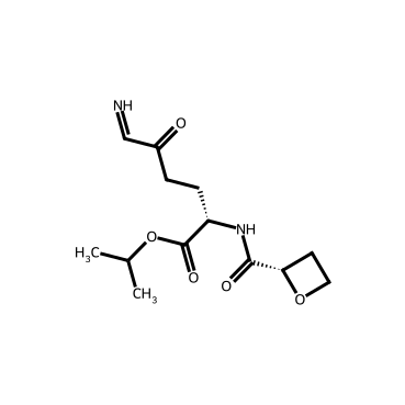 CC(C)OC(=O)[C@H](CCC(=O)C=N)NC(=O)[C@@H]1CCO1